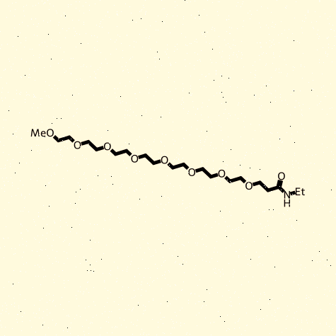 CCNC(=O)CCOCCOCCOCCOCCOCCOCCOCCOC